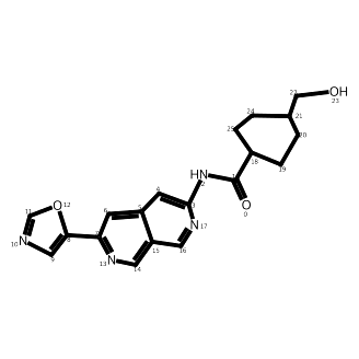 O=C(Nc1cc2cc(-c3cnco3)ncc2cn1)C1CCC(CO)CC1